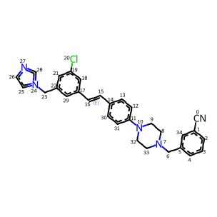 N#Cc1cccc(CN2CCN(c3ccc(/C=C/c4cc(Cl)cc(Cn5ccnc5)c4)cc3)CC2)c1